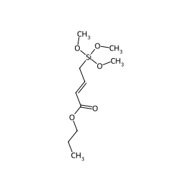 CCCOC(=O)C=CC[Si](OC)(OC)OC